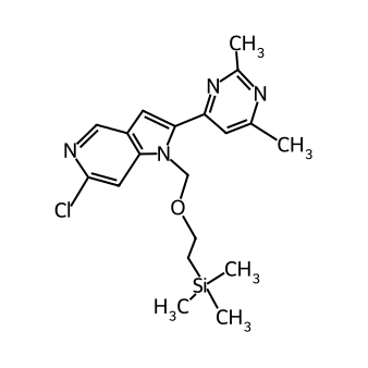 Cc1cc(-c2cc3cnc(Cl)cc3n2COCC[Si](C)(C)C)nc(C)n1